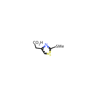 CSc1nc(CC(=O)O)cs1